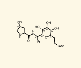 CCC[C@@H]1CNC(C(=O)N[C@H](C(C)C)[C@H]2O[C@H](CCSC)[C@H](O)[C@@H](O)[C@H]2O)C1